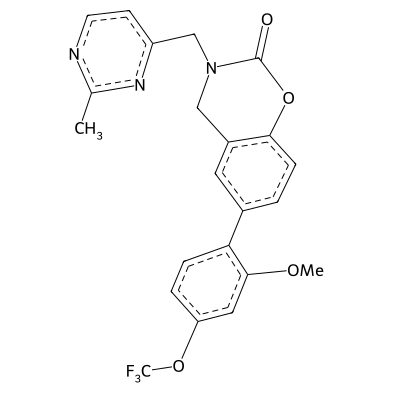 COc1cc(OC(F)(F)F)ccc1-c1ccc2c(c1)CN(Cc1ccnc(C)n1)C(=O)O2